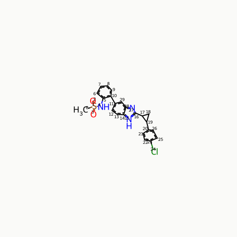 CS(=O)(=O)Nc1ccccc1-c1ccc2[nH]c(C3CC3c3ccc(Cl)cc3)nc2c1